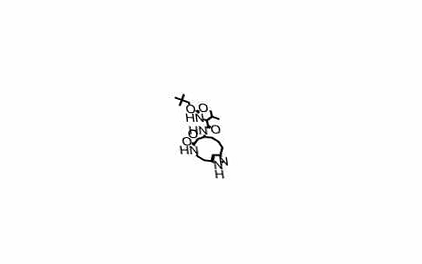 CC(C)C(NC(=O)OCC(C)(C)C)C(=O)NC1CCCc2cc([nH]n2)CCNC(=O)C1=O